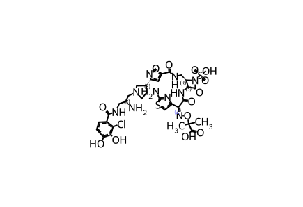 CC(C)(O/N=C(\C(=O)N[C@@H]1C(=O)N(S(=O)(=O)O)[C@@H]1CNC(=O)c1cc([C@@H]2CCN(C[C@H](N)CNC(=O)c3ccc(O)c(O)c3Cl)C2)no1)c1csc(N)n1)C(=O)O